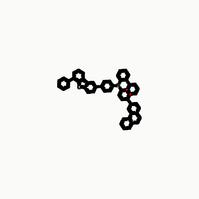 c1ccc(-c2ccccc2N(c2ccc(-c3ccc4ccc5ccccc5c4c3)cc2)c2ccc(-c3ccc4oc5c(-c6ccccc6)cccc5c4c3)cc2)cc1